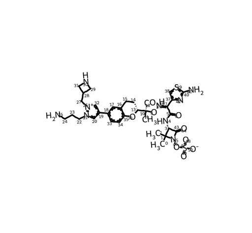 CC1(C)[C@H](NC(=O)/C(=N\O[C@](C)(C(=O)O)[C@H]2CCc3cc(-c4cn(CCCN)[n+](CC5CNC5)c4)ccc3O2)c2csc(N)n2)C(=O)N1OS(=O)(=O)[O-]